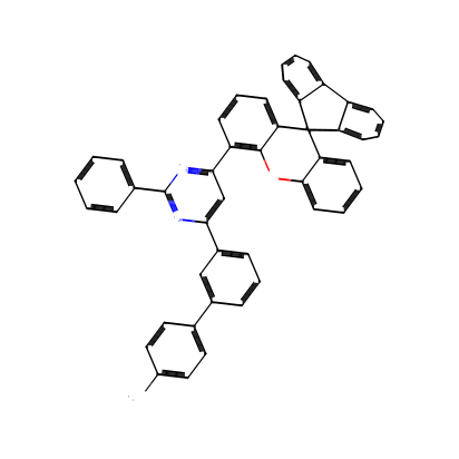 N#Cc1ccc(-c2cccc(-c3cc(-c4cccc5c4Oc4ccccc4C54c5ccccc5-c5ccccc54)nc(-c4ccccc4)n3)c2)cc1